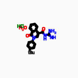 CC(C)(C)c1ccc(-n2cc(C(=O)NC(=N)N)c3ccccc3c2=O)cc1.Cl.O